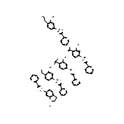 COc1cc(-n2nnc(-c3ccccn3)n2)ccc1C(=O)O.COc1cc(-n2nnc(-c3ccccn3)n2)ccc1C(C)(C)O.COc1cc(-n2nnc(-c3ccccn3)n2)ccc1CBr.COc1cc(-n2nnc(-c3ccccn3)n2)ccc1CCN.O=NN1CCc2ccc(-n3nnc(-c4ccccn4)n3)cc21